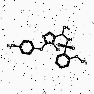 CCn1c(C(C)NS(=O)(=O)c2ccccc2OC(F)(F)F)cnc1Oc1ccc(C)cc1